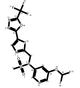 CS(=O)(=O)N(Cc1ncc(-c2nnc(C(F)(F)F)o2)s1)c1cncc(OC(F)F)c1